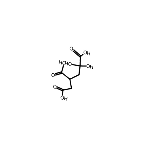 O=C(O)CC(CC(O)(O)C(=O)O)C(=O)O